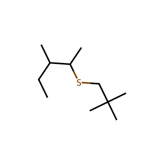 CCC(C)C(C)SCC(C)(C)C